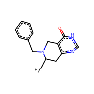 CC1Cc2nc[nH]c(=O)c2CN1Cc1ccccc1